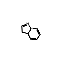 C1=C[C]2CC=NN2C=C1